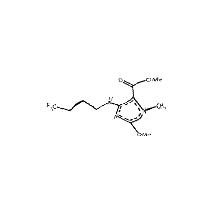 COC(=O)c1c(NCCCC(F)(F)F)nc(OC)n1C